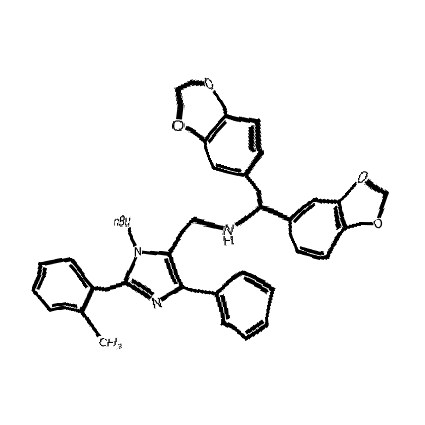 CCCCn1c(-c2ccccc2C)nc(-c2ccccc2)c1CNC(c1ccc2c(c1)OCO2)c1ccc2c(c1)OCO2